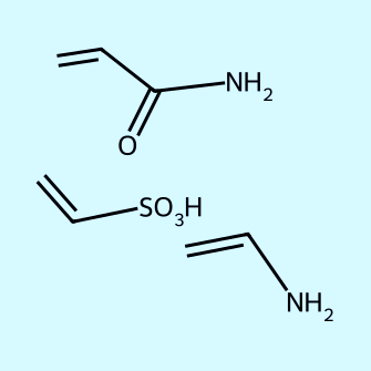 C=CC(N)=O.C=CN.C=CS(=O)(=O)O